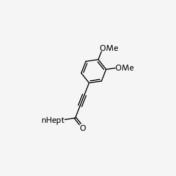 CCCCCCCC(=O)C#Cc1ccc(OC)c(OC)c1